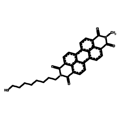 CN1C(=O)c2ccc3c4ccc5c6c(ccc(c7ccc(c2c37)C1=O)c64)C(=O)N(CCCCCCCCO)C5=O